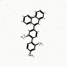 Cc1cc(N)ccc1-c1ccc(-c2cc3ccccc3c3ccccc23)cc1C